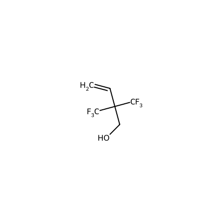 C=CC(CO)(C(F)(F)F)C(F)(F)F